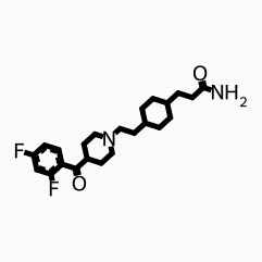 NC(=O)CCC1CCC(CCN2CCC(C(=O)c3ccc(F)cc3F)CC2)CC1